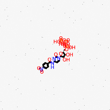 O=C(Nc1ccn([C@@H]2O[C@H](COP(=O)(O)OP(=O)(O)OP(=O)(O)O)[C@@H](O)[C@H]2O)c(=O)n1)c1ccc([N+](=O)[O-])cc1